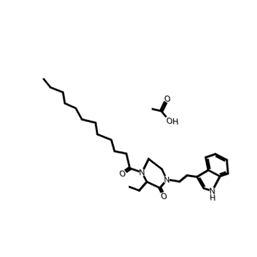 CC(=O)O.CCCCCCCCCCCC(=O)N1CCN(CCc2c[nH]c3ccccc23)C(=O)C1CC